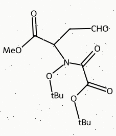 COC(=O)C(CC=O)N(OC(C)(C)C)C(=O)C(=O)OC(C)(C)C